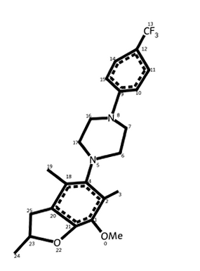 COc1c(C)c(N2CCN(c3ccc(C(F)(F)F)cc3)CC2)c(C)c2c1OC(C)C2